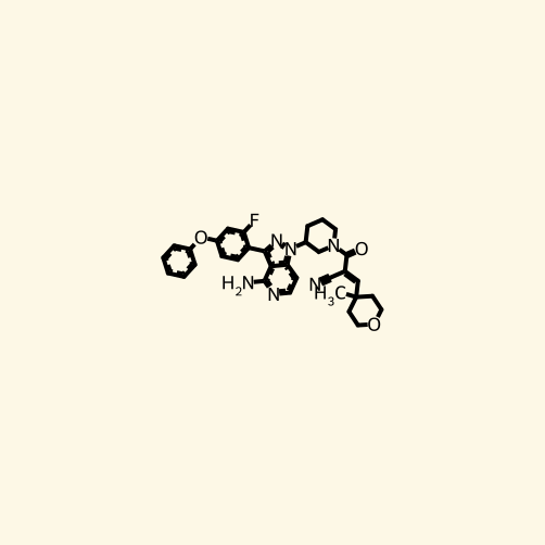 CC1(C=C(C#N)C(=O)N2CCCC(n3nc(-c4ccc(Oc5ccccc5)cc4F)c4c(N)nccc43)C2)CCOCC1